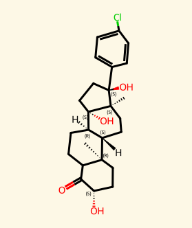 C[C@]12CC[C@H]3[C@@H](CCC4C(=O)[C@@H](O)CC[C@@]43C)[C@@]1(O)CC[C@]2(O)c1ccc(Cl)cc1